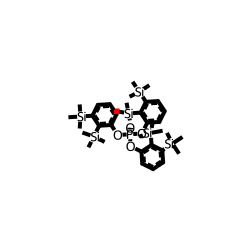 C[Si](C)(C)c1cccc(OP(=O)(Oc2cccc([Si](C)(C)C)c2[Si](C)(C)C)Oc2cccc([Si](C)(C)C)c2[Si](C)(C)C)c1[Si](C)(C)C